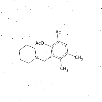 CC(=O)Oc1c(C(C)=O)cc(C)c(C)c1CN1CCCCC1